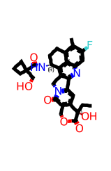 CC[C@@]1(O)C(=O)OCc2c1cc1n(c2=O)Cc2c-1nc1cc(F)c(C)c3c1c2[C@H](NC(=O)C1(CO)CCC1)CC3